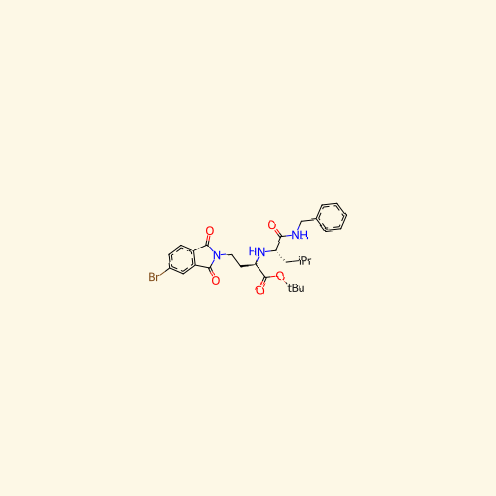 CC(C)C[C@H](N[C@H](CCN1C(=O)c2ccc(Br)cc2C1=O)C(=O)OC(C)(C)C)C(=O)NCc1ccccc1